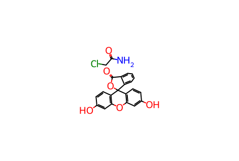 NC(=O)CCl.O=C1OC2(c3ccc(O)cc3Oc3cc(O)ccc32)c2ccccc21